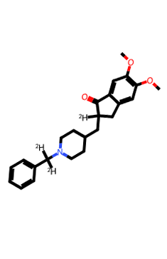 [2H]C1(CC2CCN(C([2H])([2H])c3ccccc3)CC2)Cc2cc(OC)c(OC)cc2C1=O